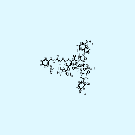 CC(C)(C)OC(=O)NC(CCCNC(=O)OCc1ccccc1N=[N+]=[N-])C(=O)O[C@H]1[C@@H](O)[C@H](n2cnc3c(N)ncnc32)O[C@@H]1COP(=O)(O)O[C@H]1C[C@H](n2ccc(N)nc2=O)O[C@H]1COP(=O)(O)O